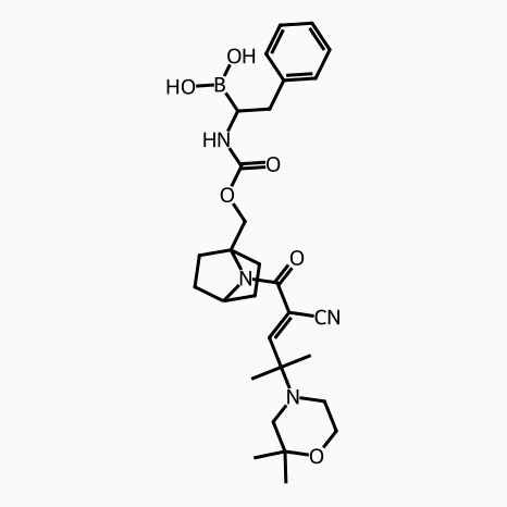 CC1(C)CN(C(C)(C)C=C(C#N)C(=O)N2C3CCC2(COC(=O)NC(Cc2ccccc2)B(O)O)CC3)CCO1